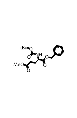 COC(=O)CC[C@@H](NC(=O)OC(C)(C)C)C(=O)OCc1ccccc1